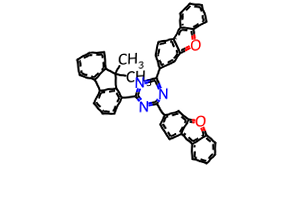 CC1(C)c2ccccc2-c2cccc(-c3nc(-c4ccc5c(c4)oc4ccccc45)nc(-c4ccc5c(c4)oc4ccccc45)n3)c21